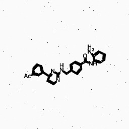 CC(=O)c1cccc(-c2ccnc(NCc3ccc(C(=O)Nc4ccccc4N)cc3)n2)c1